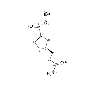 CC(C)(C)OC(=O)N1CC[C@H](CCC(N)=O)C1